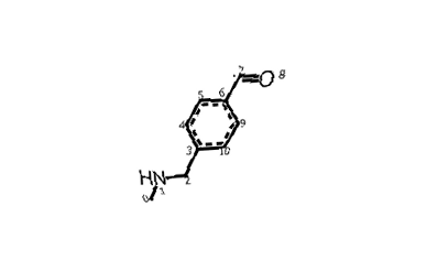 CNCc1ccc([C]=O)cc1